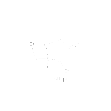 C=CC(C)O[Si](CCCCCCCC)(OCC)OCC